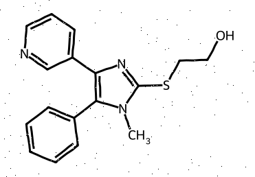 Cn1c(SCCO)nc(-c2cccnc2)c1-c1ccccc1